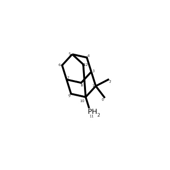 CC1(C)C2CC3CC(C2)CC1(P)C3